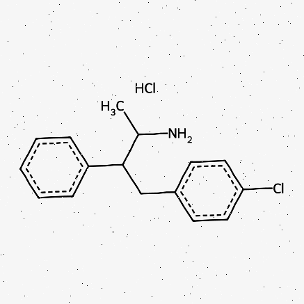 CC(N)C(Cc1ccc(Cl)cc1)c1ccccc1.Cl